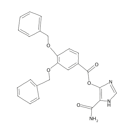 NC(=O)c1[nH]cnc1OC(=O)c1ccc(OCc2ccccc2)c(OCc2ccccc2)c1